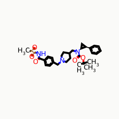 CC(C)(C)OC(=O)N(CC1CCN(Cc2ccc(C(=O)NS(C)(=O)=O)cc2)CC1)[C@@H]1C[C@H]1c1ccccc1